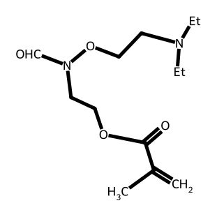 C=C(C)C(=O)OCCN(C=O)OCCN(CC)CC